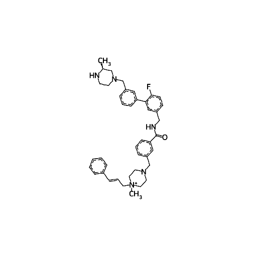 C[C@H]1CN(Cc2cccc(-c3cc(CNC(=O)c4cccc(CN5CC[N+](C)(C/C=C/c6ccccc6)CC5)c4)ccc3F)c2)CCN1